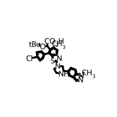 Cc1cc2nc(N3CCNC(c4ccc5c(cnn5C)c4)C3)sc2c(-c2ccc(Cl)cc2)c1C(OC(C)(C)C)C(=O)O